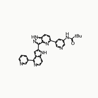 CC(C)(C)C(=O)Nc1cncc(-c2ccc3[nH]nc(-c4cc5c(-c6cccnc6)nccc5[nH]4)c3n2)c1